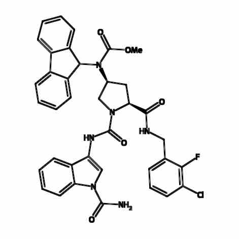 COC(=O)N(C1c2ccccc2-c2ccccc21)[C@H]1C[C@@H](C(=O)NCc2cccc(Cl)c2F)N(C(=O)Nc2cn(C(N)=O)c3ccccc23)C1